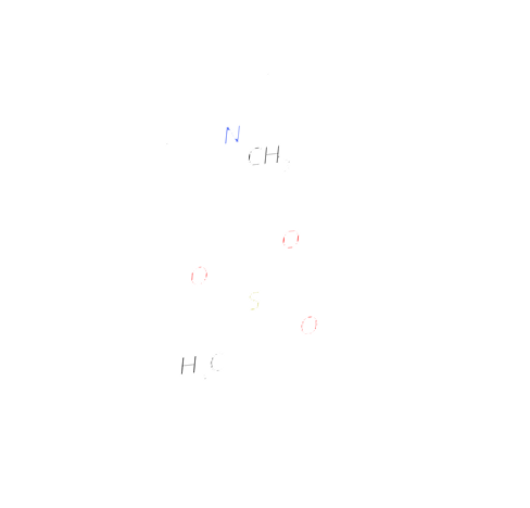 CN1C2CC(OS(C)(=O)=O)CC1C2